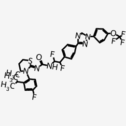 CC(C)c1cc(F)ccc1N1/C(=N/C(=O)NC(F)C(F)c2ccc(-c3ncn(-c4ccc(OC(F)(F)F)cc4)n3)cc2)SCCC1C